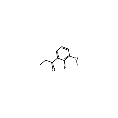 CCC(=O)c1cccc(OC)c1F